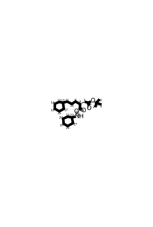 CC(C)(C)OC(=O)C[C@@H](CCCC1CCCCC1)C(=O)ONC1CCCCC1